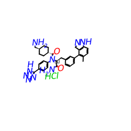 Cc1ccc2[nH]ncc2c1-c1cccc(C[C@@H](C(N)=O)N(c2ccc(-c3nnn[nH]3)cc2)C(=O)[C@H]2CC[C@H](CN)CC2)c1.Cl